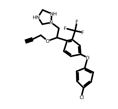 C#CCOC(CN1CNCN1)c1ccc(Oc2ccc(Cl)cc2)cc1C(F)(F)F